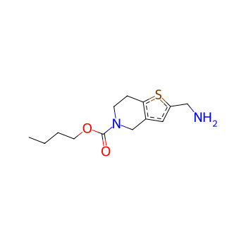 CCCCOC(=O)N1CCc2sc(CN)cc2C1